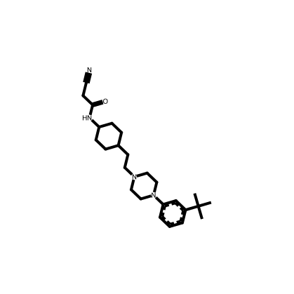 CC(C)(C)c1cccc(N2CCN(CCC3CCC(NC(=O)CC#N)CC3)CC2)c1